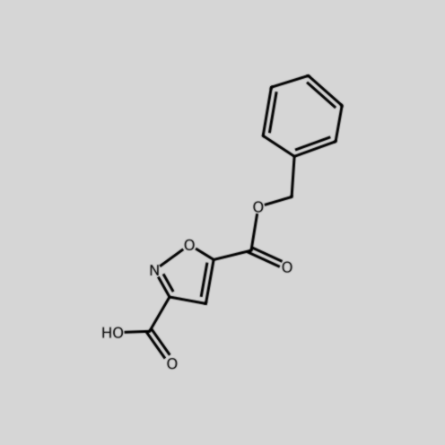 O=C(O)c1cc(C(=O)OCc2ccccc2)on1